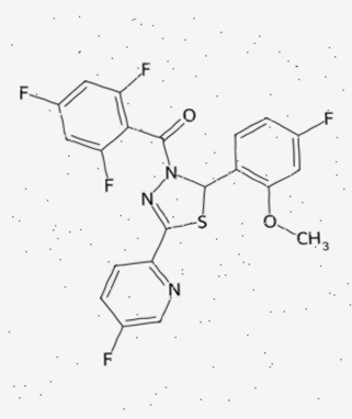 COc1cc(F)ccc1C1SC(c2ccc(F)cn2)=NN1C(=O)c1c(F)cc(F)cc1F